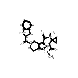 COC(=O)CC1(N(C)C(=O)c2[nH]nc3c2CN(C(=O)C2Cc4ccccc4N2)CC3)CC1